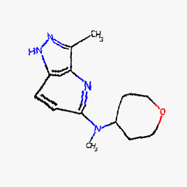 Cc1n[nH]c2ccc(N(C)C3CCOCC3)nc12